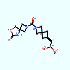 O=C1NC2(CO1)CN(C(=O)N1CC3(CC(=CB(O)O)C3)C1)C2